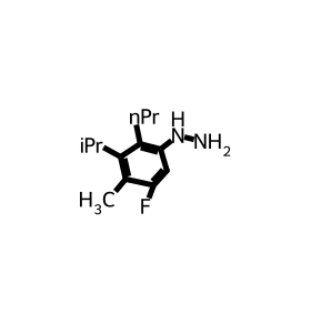 CCCc1c(NN)cc(F)c(C)c1C(C)C